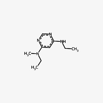 CCNc1cc(N(C)CC)ncn1